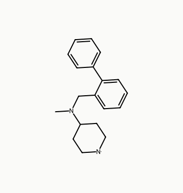 CN(Cc1ccccc1-c1ccccc1)C1CC[N]CC1